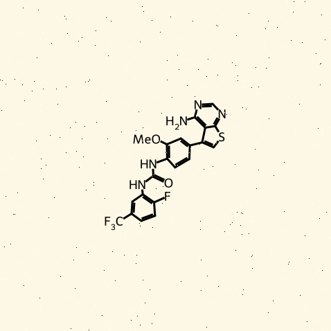 COc1cc(-c2csc3ncnc(N)c23)ccc1NC(=O)Nc1cc(C(F)(F)F)ccc1F